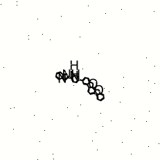 C1=CC2NC(C3=CC=C(c4ccc5oc6c(ccc7c8ccccc8oc76)c5c4)CN3)=CN2C=C1